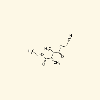 C=C(C(=O)OCC)C(C)C(=O)OCC#N